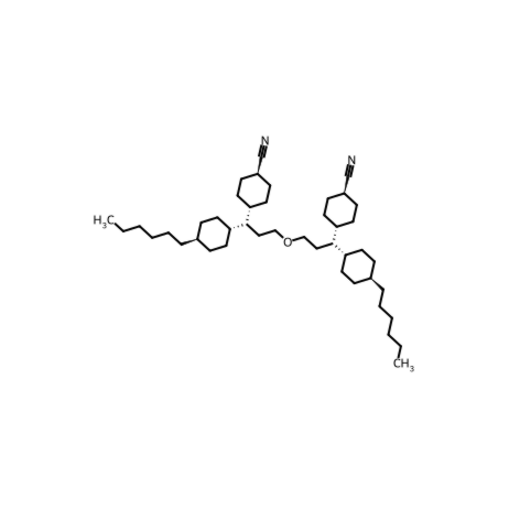 CCCCCC[C@H]1CC[C@H](C(CCOCCC([C@H]2CC[C@H](C#N)CC2)[C@H]2CC[C@H](CCCCCC)CC2)[C@H]2CC[C@H](C#N)CC2)CC1